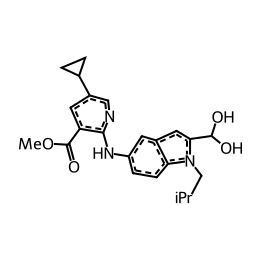 COC(=O)c1cc(C2CC2)cnc1Nc1ccc2c(c1)cc(C(O)O)n2CC(C)C